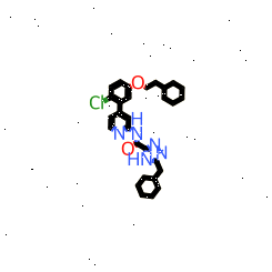 O=C(Nc1cc(-c2cc(OCCC3CCCCC3)ccc2Cl)ccn1)c1nnc(CC2CCCCC2)[nH]1